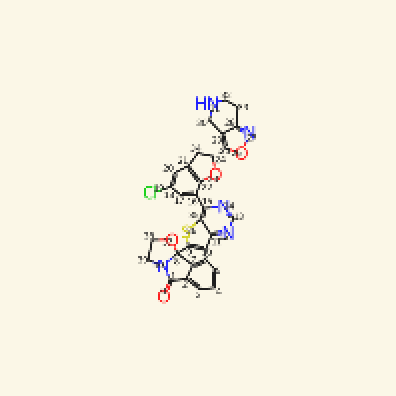 O=C1c2ccccc2C2(c3cc4ncnc(-c5cc(Cl)cc6c5O[C@@H](c5onc7c5CNCC7)C6)c4s3)OCCN12